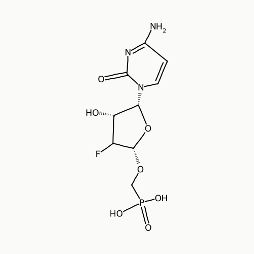 Nc1ccn([C@@H]2O[C@H](OCP(=O)(O)O)C(F)[C@@H]2O)c(=O)n1